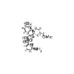 COCC1CCN(c2nc(C(C)(C)C)ccc2C(=O)NS(=O)(=O)c2cccc(N)n2)CC1